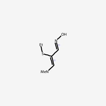 CCSC(=C\NC)/C=N/O